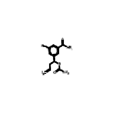 C=CCC(OC(N)=O)c1cc(Br)cc(C(N)=O)c1